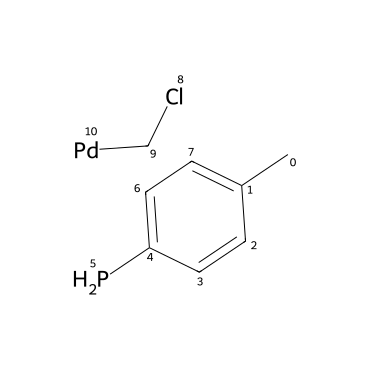 Cc1ccc(P)cc1.Cl[CH2][Pd]